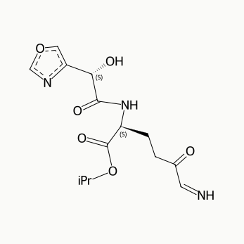 CC(C)OC(=O)[C@H](CCC(=O)C=N)NC(=O)[C@@H](O)c1cocn1